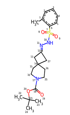 Cc1ccccc1S(=O)(=O)NN=C1CC2(CCN(C(=O)OC(C)(C)C)CC2)C1